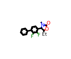 CCC1OC(=O)N(C)C1c1ccc(-c2ccccc2)c(F)c1F